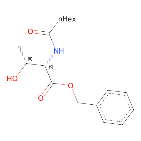 CCCCCCC(=O)N[C@H](C(=O)OCc1ccccc1)[C@@H](C)O